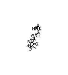 Cn1c(=O)c2c(ncn2CC(=O)NCCC2C=CC=CN2)n(C)c1=O